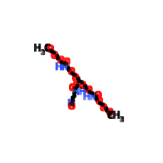 COCCOCCOCC(=O)NCCOCCOCC(COCCOCCNC(=O)COCCOCCOC)OCC(=O)NCCCCN=O